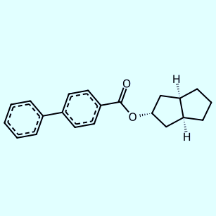 O=C(O[C@@H]1C[C@H]2CCC[C@H]2C1)c1ccc(-c2ccccc2)cc1